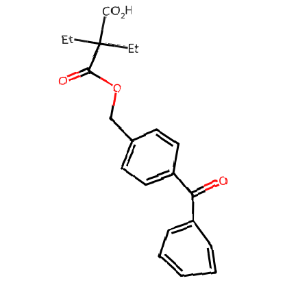 CCC(CC)(C(=O)O)C(=O)OCc1ccc(C(=O)c2ccccc2)cc1